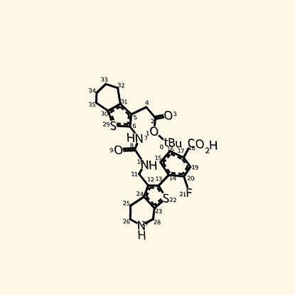 CC(C)(C)OC(=O)Cc1c(NC(=O)NCc2c(-c3ccc(C(=O)O)cc3F)sc3c2CCNC3)sc2c1CCCC2